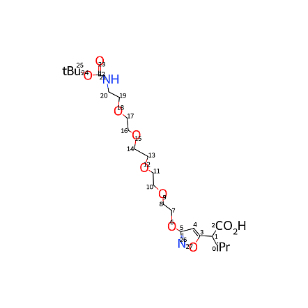 CC(C)C(C(=O)O)c1cc(OCCOCCOCCOCCOCCNC(=O)OC(C)(C)C)no1